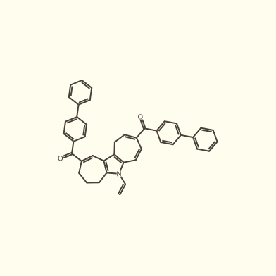 C=Cn1c2c(c3c1CCCC(C(=O)c1ccc(-c4ccccc4)cc1)=C3)CC=C(C(=O)c1ccc(-c3ccccc3)cc1)C=C2